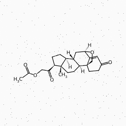 CC(=O)OCC(=O)[C@H]1CC[C@H]2[C@@H]3C[C@H]4OC[C@@]5(CCC(=O)C=C45)[C@H]3CC[C@]12C